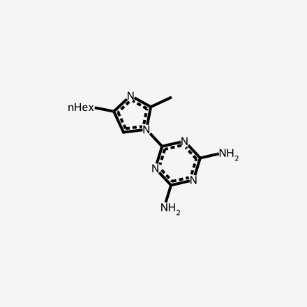 CCCCCCc1cn(-c2nc(N)nc(N)n2)c(C)n1